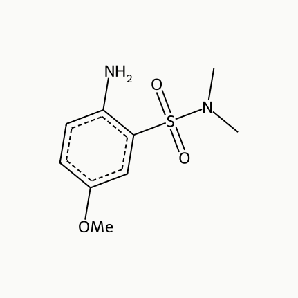 COc1ccc(N)c(S(=O)(=O)N(C)C)c1